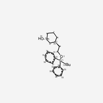 CC(C)(C)[Si](OCC[C@@H]1CCC[C@@H](O)C1)(c1ccccc1)c1ccccc1